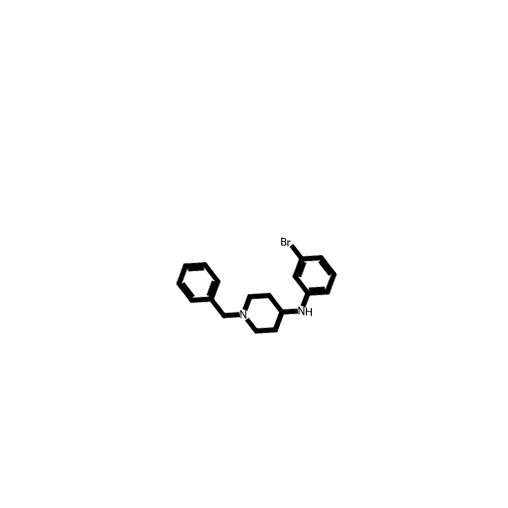 Brc1cccc(NC2CCN(Cc3ccccc3)CC2)c1